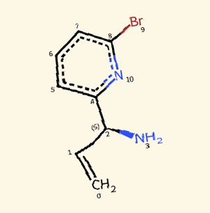 C=C[C@H](N)c1cccc(Br)n1